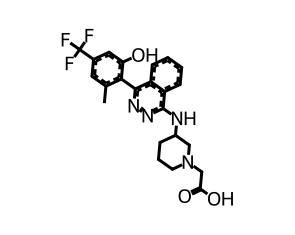 Cc1cc(C(F)(F)F)cc(O)c1-c1nnc(NC2CCCN(CC(=O)O)C2)c2ccccc12